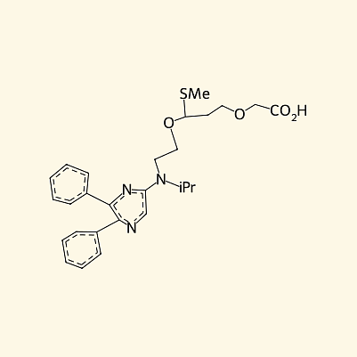 CSC(CCOCC(=O)O)OCCN(c1cnc(-c2ccccc2)c(-c2ccccc2)n1)C(C)C